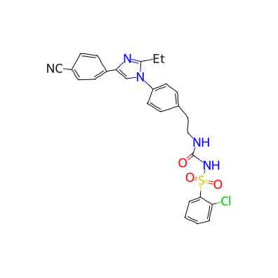 CCc1nc(-c2ccc(C#N)cc2)cn1-c1ccc(CCNC(=O)NS(=O)(=O)c2ccccc2Cl)cc1